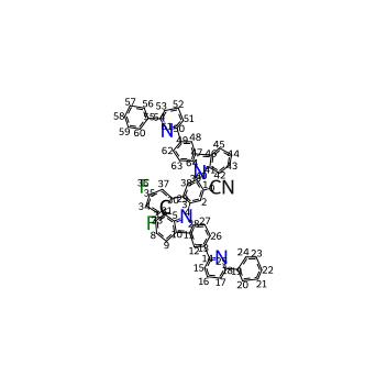 N#Cc1cc(-n2c3ccccc3c3cc(-c4cccc(-c5ccccc5)n4)ccc32)c(-c2cc(F)cc(F)c2)cc1-n1c2ccccc2c2cc(-c3cccc(-c4ccccc4)n3)ccc21